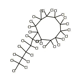 ClC(Cl)(Cl)C(Cl)(Cl)C(Cl)(Cl)C(Cl)(Cl)C(Cl)(Cl)C1(Cl)C(Cl)(Cl)C(Cl)(Cl)C(Cl)(Cl)C(Cl)(Cl)C(Cl)(Cl)C(Cl)(Cl)C(Cl)(Cl)C(Cl)(Cl)C1(Cl)Cl